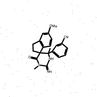 COc1ccc2c(c1)CCC21C(=O)N(C)C(=N)NC1(C)c1cccc(C#N)c1